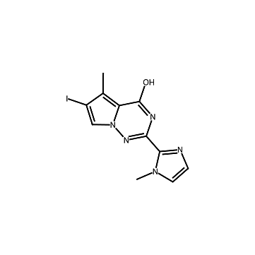 Cc1c(I)cn2nc(-c3nccn3C)nc(O)c12